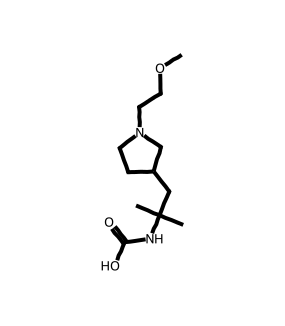 COCCN1CCC(CC(C)(C)NC(=O)O)C1